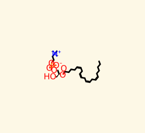 CCCCC/C=C\C/C=C\C/C=C\C/C=C\CCCC(=O)O[C@@H](CO)COP(=O)([O-])OCC[N+](C)(C)C